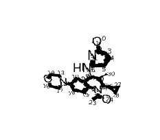 COc1cccc(N[C@H]2c3cc(N4CCOCC4)ccc3N(C(C)=O)[C@@H](C3CC3)[C@@H]2C)n1